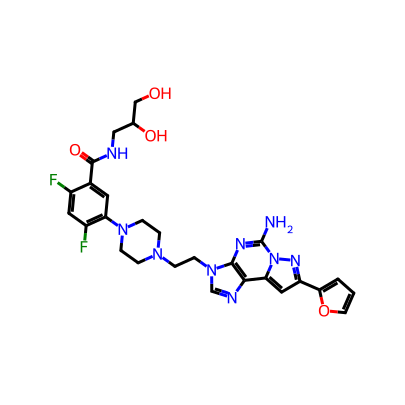 Nc1nc2c(ncn2CCN2CCN(c3cc(C(=O)NCC(O)CO)c(F)cc3F)CC2)c2cc(-c3ccco3)nn12